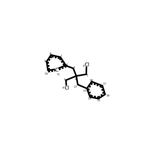 ClCC(CCl)(Cc1ccccc1)Cc1ccccc1